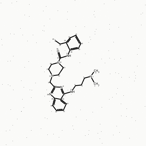 CN(C)CCCNc1nc(CN2CCN(C(=O)Nc3ccccc3CI)CC2)nc2ccccc12